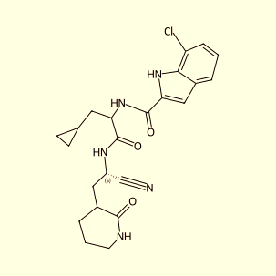 N#C[C@H](CC1CCCNC1=O)NC(=O)C(CC1CC1)NC(=O)c1cc2cccc(Cl)c2[nH]1